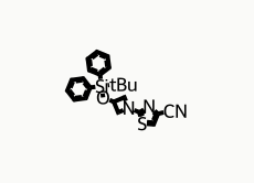 CC(C)(C)[Si](OC1CN(c2nc(C#N)cs2)C1)(c1ccccc1)c1ccccc1